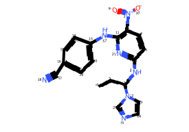 CCC(Nc1ccc([N+](=O)[O-])c(Nc2ccc(C#N)cc2)n1)n1ccnc1